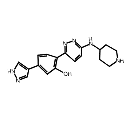 Oc1cc(-c2cn[nH]c2)ccc1-c1ccc(NC2CCNCC2)nn1